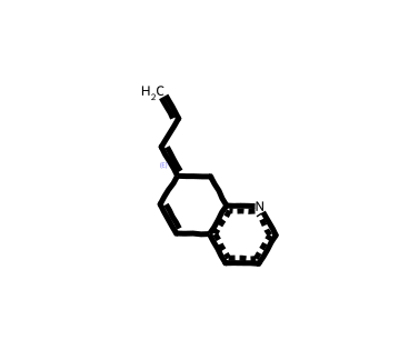 C=C/C=C1/C=Cc2cccnc2C1